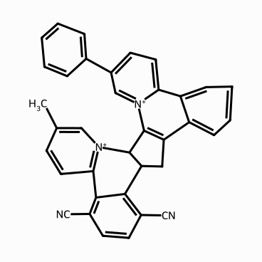 Cc1ccc2[n+](c1)C1c3c(c4ccccc4c4ccc(-c5ccccc5)c[n+]34)CC1c1c(C#N)ccc(C#N)c1-2